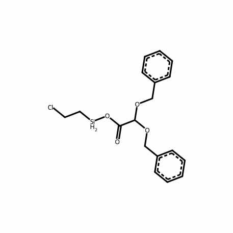 O=C(O[SiH2]CCCl)C(OCc1ccccc1)OCc1ccccc1